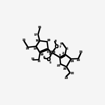 CCC1=C([Si](OC)(OC)C2=C(CC)C(CC)C(CC)C2)CC(CC)C1CC